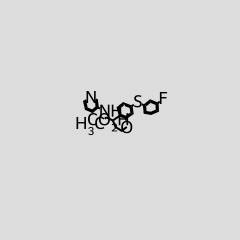 CC(Nc1cnccc1C(=O)O)C1CCOc2cc(Sc3cccc(F)c3)ccc21